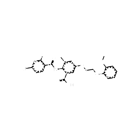 CSc1ccccc1OCCOc1cc(C)c(NC(=O)c2ccc(Cl)cc2Cl)c(C(=O)O)c1